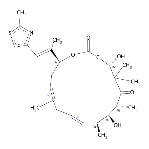 CC(=Cc1csc(C)n1)[C@@H]1C/C=C(/C)C/C=C/[C@H](C)[C@H](O)[C@@H](C)C(=O)C(C)(C)[C@@H](O)CC(=O)O1